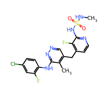 CNS(=O)(=O)Nc1nccc(Cc2cnnc(Nc3ccc(Cl)cc3F)c2C)c1F